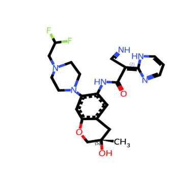 C[C@@]1(O)COc2cc(N3CCN(CC(F)F)CC3)c(NC(=O)/C(C=N)=C3\N=CC=CN3)cc2C1